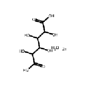 O.O=C(O)C(O)C(O)C(O)C(O)C(=O)O.[Zn]